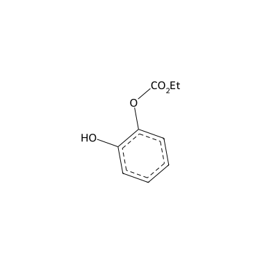 CCOC(=O)Oc1ccccc1O